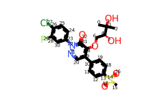 CC(C)(O)[C@@H](O)COc1c(-c2ccc(S(C)(=O)=O)cc2)cnn(-c2ccc(Cl)c(F)c2)c1=O